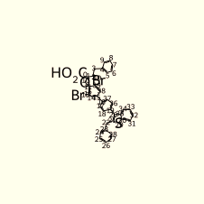 O=C(O)[C@H](CCc1ccccc1)Oc1c(Br)cc(-c2ccc(-c3c(Cc4ccccc4)sc4ccccc34)cc2)cc1Br